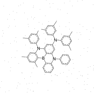 Cc1cc(C)cc(N(c2cc(C)cc(C)c2)c2cc3c4c(c2)N(c2cc(C)cc(C)c2)c2cc(C)cc(C)c2B4c2ccccc2N3c2ccccc2)c1